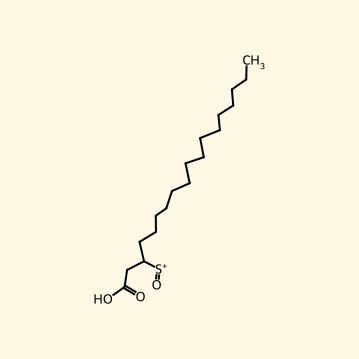 CCCCCCCCCCCCCCCC(CC(=O)O)[S+]=O